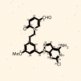 COc1cc(CCn2cc(C=O)ccc2=O)cc(Cn2ncc3c(N)nc(Cl)nc32)c1